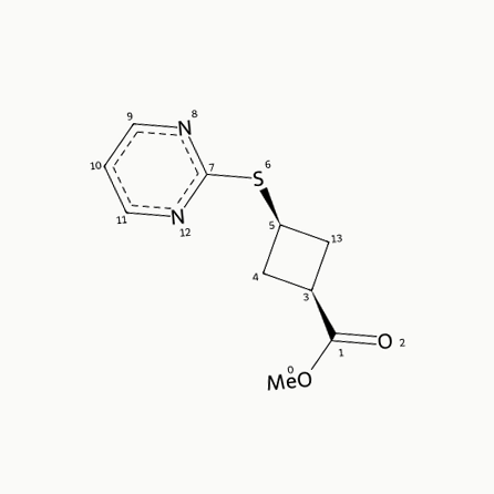 COC(=O)[C@H]1C[C@@H](Sc2ncccn2)C1